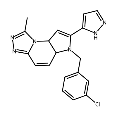 Cc1nnc2n1C1C=C(c3ccn[nH]3)N(Cc3cccc(Cl)c3)C1C=C2